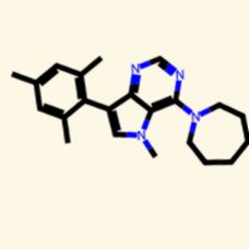 Cc1cc(C)c(-c2cn(C)c3c(N4CCCCCC4)ncnc23)c(C)c1